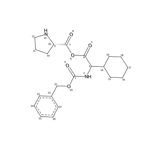 O=C(NC(C(=O)OC(=O)[C@@H]1CCCN1)C1CCCCC1)OCc1ccccc1